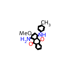 COc1cc(Nc2ccc(C)cc2)c2c(c1N)C(=O)c1ccccc1C2=O